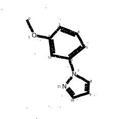 COc1[c]ccc(-n2cccn2)c1